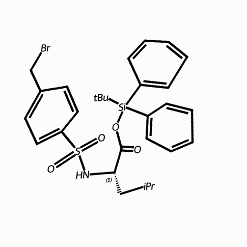 CC(C)C[C@H](NS(=O)(=O)c1ccc(CBr)cc1)C(=O)O[Si](c1ccccc1)(c1ccccc1)C(C)(C)C